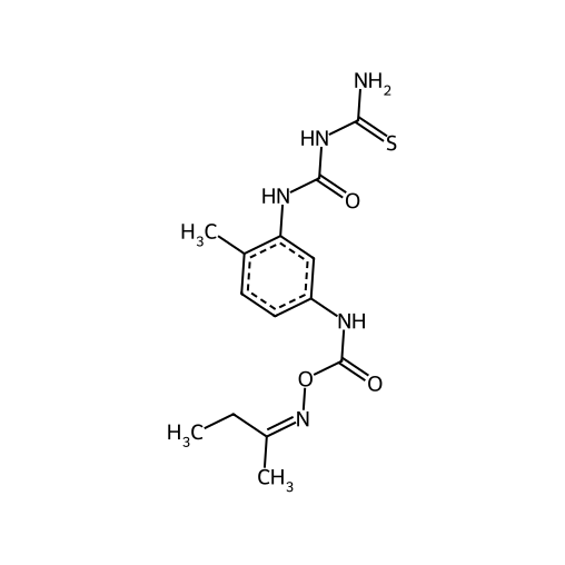 CC/C(C)=N\OC(=O)Nc1ccc(C)c(NC(=O)NC(N)=S)c1